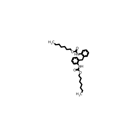 CCCCCCCOC(=O)Nc1ccccc1Cc1ccccc1NC(=O)OCCCCCCC